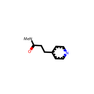 CNC(=O)CCc1ccncc1